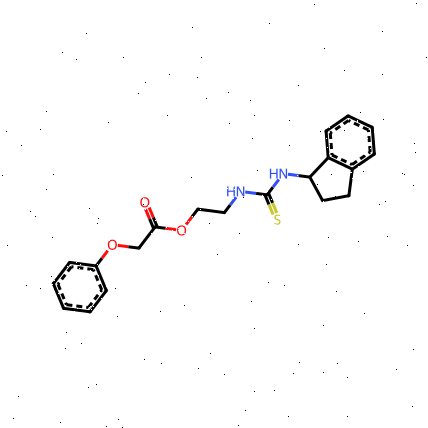 O=C(COc1ccccc1)OCCNC(=S)NC1CCc2ccccc21